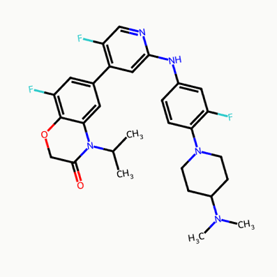 CC(C)N1C(=O)COc2c(F)cc(-c3cc(Nc4ccc(N5CCC(N(C)C)CC5)c(F)c4)ncc3F)cc21